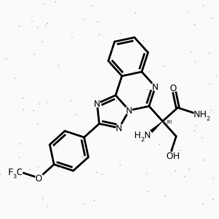 NC(=O)[C@](N)(CO)c1nc2ccccc2c2nc(-c3ccc(OC(F)(F)F)cc3)nn12